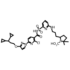 CC1(C)CCC(CCCNc2cccc(S(=O)(=O)NC(=O)c3ccc(-n4ccc(OCCC(C5CC5)C5CC5)n4)nc3Cl)n2)N1C(=O)O